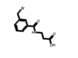 O=C(O)CCNC(=O)c1cccc(CBr)c1